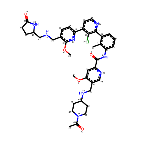 COc1cc(C(=O)Nc2cccc(-c3nccc(-c4ccc(CNCC5CCC(=O)N5)c(OC)n4)c3Cl)c2C)ncc1CNC1CCN(C(C)=O)CC1